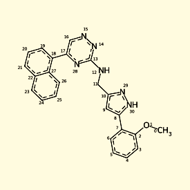 COc1ccccc1-c1cc(CNc2nncc(-c3cccc4ccccc34)n2)n[nH]1